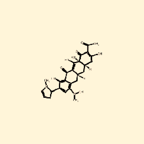 CN(C)c1cc(C2CC=CN2C)c(O)c2c1C[C@H]1C[C@H]3CC(O)=C(C(N)=O)C(=O)[C@@]3(O)C(O)=C1C2=O